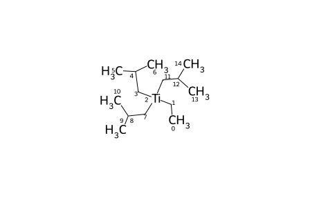 C[CH2][Ti]([CH2]C(C)C)([CH2]C(C)C)[CH2]C(C)C